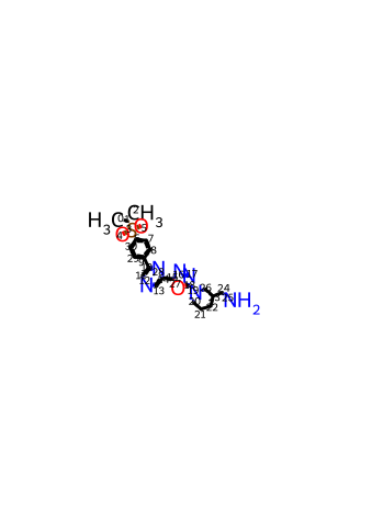 CC(C)S(=O)(=O)c1ccc(-c2cncc(-c3nnc(N4CCCC(CN)C4)o3)n2)cc1